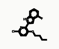 CCCCOc1ccc(Cl)nc1-c1cc2c(F)cccc2[nH]1